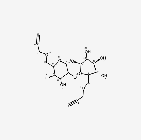 C#CCOCC1O[C@@H](O[C@H]2OC(COCC#C)[C@H](O)[C@@H](O)C2O)C(O)[C@@H](O)[C@@H]1O